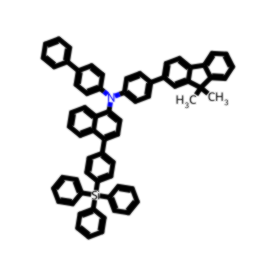 CC1(C)c2ccccc2-c2ccc(-c3ccc(N(c4ccc(-c5ccccc5)cc4)c4ccc(-c5ccc([Si](c6ccccc6)(c6ccccc6)c6ccccc6)cc5)c5ccccc45)cc3)cc21